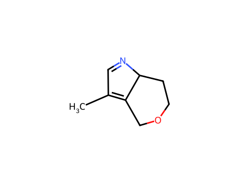 CC1=C2COCCC2N=C1